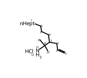 C=CCC(CCCCCCCCCC)C(C)(C)N.Cl